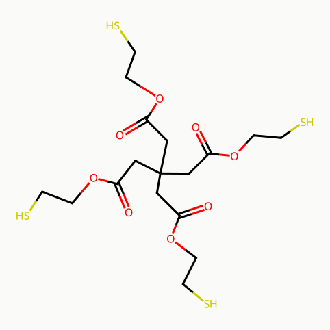 O=C(CC(CC(=O)OCCS)(CC(=O)OCCS)CC(=O)OCCS)OCCS